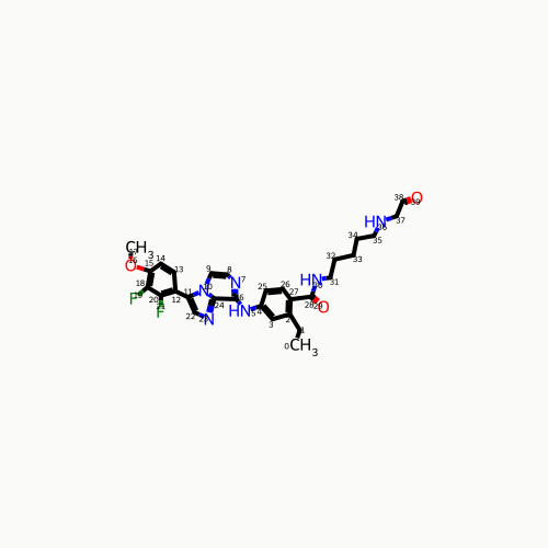 CCc1cc(Nc2nccn3c(-c4ccc(OC)c(F)c4F)cnc23)ccc1C(=O)NCCCCCNCC=O